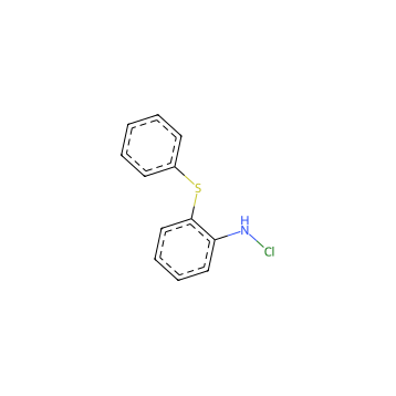 ClNc1ccccc1Sc1ccccc1